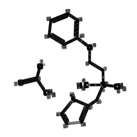 CC(=O)[O-].C[N+](C)(CCOc1ccccc1)Cc1cccs1